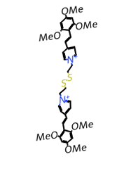 COc1cc(OC)c(C=Cc2cc[n+](CCSSCC[n+]3ccc(C=Cc4c(OC)cc(OC)cc4OC)cc3)cc2)c(OC)c1